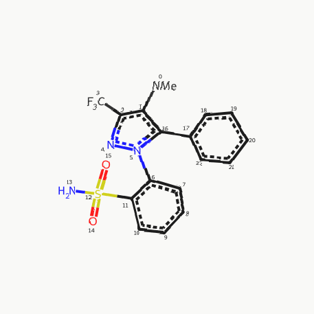 CNc1c(C(F)(F)F)nn(-c2ccccc2S(N)(=O)=O)c1-c1ccccc1